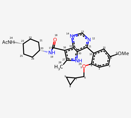 COc1ccc(OCC2CC2)c(-c2ncnc3c(C(=O)N[C@H]4CC[C@@H](NC(C)=O)CC4)c(C)[nH]c23)c1